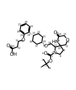 CC(C)(C)OC(=O)N1CCC2(COCC(=O)N2)C1CO[C@H]1CC[C@@H](c2ccccc2OCCC(=O)O)CC1